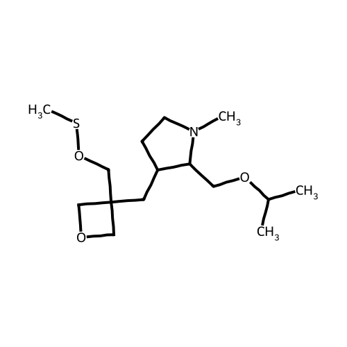 CSOCC1(CC2CCN(C)C2COC(C)C)COC1